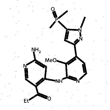 CCC(=O)c1cnc(N)cc1Nc1nccc(-c2cc(P(C)(C)=O)n(C)n2)c1OC